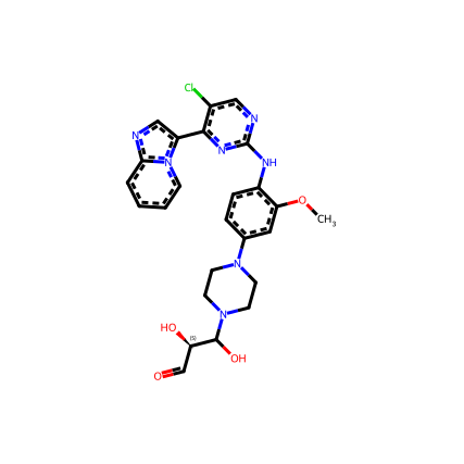 COc1cc(N2CCN(C(O)[C@H](O)C=O)CC2)ccc1Nc1ncc(Cl)c(-c2cnc3ccccn23)n1